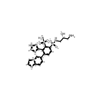 NC[C@@H](O)CNS(=O)(=O)c1ccc(-c2ccc3nccn3c2)c(-c2nn[nH]n2)c1S(N)(=O)=O